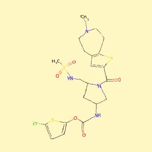 CN1CCc2cc(C(=O)N3CC(NC(=O)Oc4ccc(Cl)s4)CC3CNS(C)(=O)=O)sc2CC1